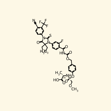 CCC1(CC)C(=O)N(c2ccc(C#N)c(C(F)(F)F)c2)C(=S)N1c1ccc(C(=O)NC(=O)OCc2ccc(OP(=O)(COC)N[C@@H](C)C(=O)O)cc2)c(F)c1